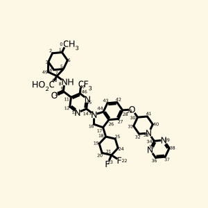 CC1CC2CC(C1)C(NC(=O)c1cnc(N3CC(C4CCC(F)(F)CC4)c4cc(OC5CCN(c6ncccn6)CC5)ccc43)nc1C(F)(F)F)(C(=O)O)C2